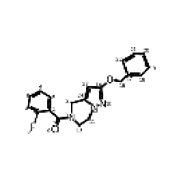 O=C(c1ccccc1F)N1CCn2nc(OCc3ccccc3)cc2C1